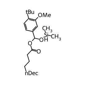 CCCCCCCCCCCCCC(=O)OC(O[SiH](C)C)c1ccc(C(C)(C)C)c(OC)c1